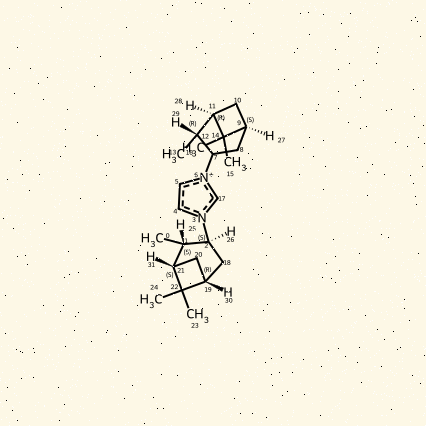 C[C@@H]1[C@@H](n2cc[n+](C3C[C@@H]4C[C@H]([C@H]3C)C4(C)C)c2)C[C@H]2C[C@@H]1C2(C)C